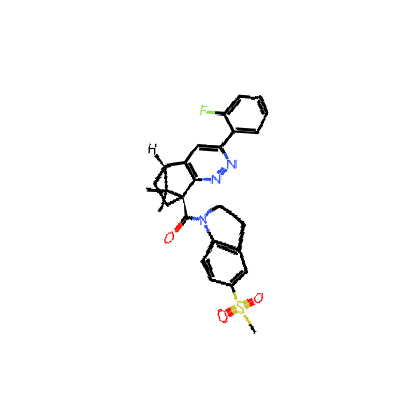 CC1(C)[C@@H]2CC[C@@]1(C(=O)N1CCc3cc(S(C)(=O)=O)ccc31)c1nnc(-c3ccccc3F)cc12